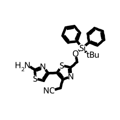 CC(C)(C)[Si](OCc1nc(CC#N)c(-c2csc(N)n2)s1)(c1ccccc1)c1ccccc1